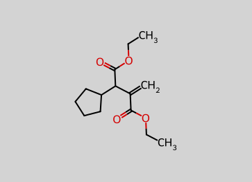 C=C(C(=O)OCC)C(C(=O)OCC)C1CCCC1